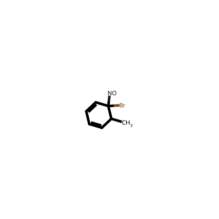 CC1C=CC=CC1(Br)N=O